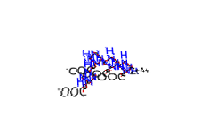 O=C([O-])c1ccc(-c2cc3cc4nc(cc5ccc(cc6nc(cc2[nH]3)C=C6)[nH]5)C=C4)cc1.O=C([O-])c1ccc(-c2cc3cc4nc(cc5ccc(cc6nc(cc2[nH]3)C=C6)[nH]5)C=C4)cc1.O=C([O-])c1ccc(-c2cc3cc4nc(cc5ccc(cc6nc(cc2[nH]3)C=C6)[nH]5)C=C4)cc1.O=C([O-])c1ccc(-c2cc3cc4nc(cc5ccc(cc6nc(cc2[nH]3)C=C6)[nH]5)C=C4)cc1.[Zr+4]